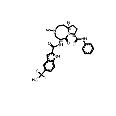 CC(=O)N1CC[C@H]2CC[C@@H](C(=O)Nc3ccccc3)N2C(=O)[C@@H](NC(=O)c2cc3cc(C(C)(F)F)ccc3[nH]2)C1